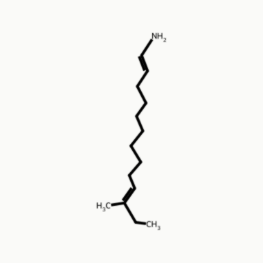 CCC(C)=CCCCCCCCC=CN